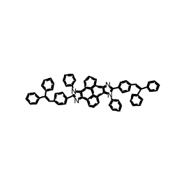 C(=C(c1ccccc1)c1ccccc1)c1ccc(-c2nc3c4cccc5c4c4c(cccc4c3n2-c2ccccc2)c2nc(-c3ccc(C=C(c4ccccc4)c4ccccc4)cc3)n(-c3ccccc3)c52)cc1